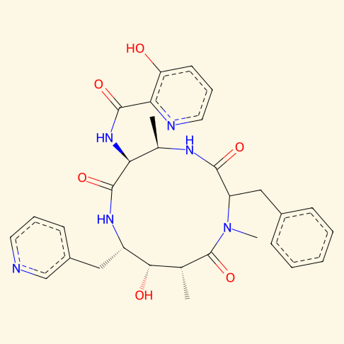 C[C@H]1NC(=O)C(Cc2ccccc2)N(C)C(=O)[C@H](C)[C@H](O)[C@H](Cc2cccnc2)NC(=O)[C@H]1NC(=O)c1ncccc1O